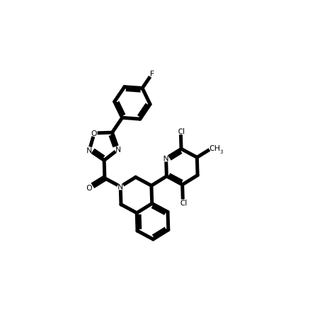 CC1CC(Cl)=C(C2CN(C(=O)c3noc(-c4ccc(F)cc4)n3)Cc3ccccc32)N=C1Cl